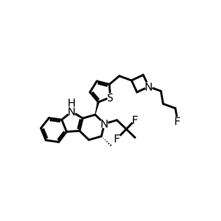 C[C@@H]1Cc2c([nH]c3ccccc23)[C@@H](c2ccc(CC3CN(CCCF)C3)s2)N1CC(C)(F)F